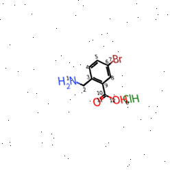 Cl.NCc1ccc(Br)cc1C(=O)O